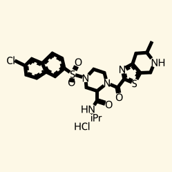 CC(C)NC(=O)C1CN(S(=O)(=O)c2ccc3cc(Cl)ccc3c2)CCN1C(=O)c1nc2c(s1)CNC(C)C2.Cl